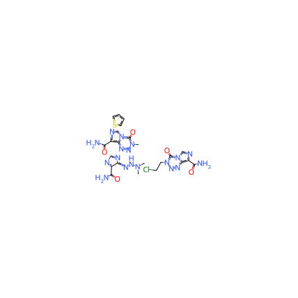 CN(C)N/N=C1\N=CN=C1C(N)=O.Cn1nnc2c(C(N)=O)ncn2c1=O.NC(=O)c1ncn2c(=O)n(CCCl)nnc12.c1ccsc1